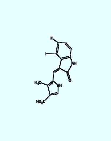 Cc1c(C(=O)O)c[nH]c1C=C1C(=O)Nc2ccc(F)c(I)c21